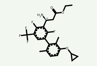 CCOC(=O)C[C@H](N)c1c(F)c(-c2c(C)ccc(OC3CC3)c2C)cc(C(F)(F)F)c1F